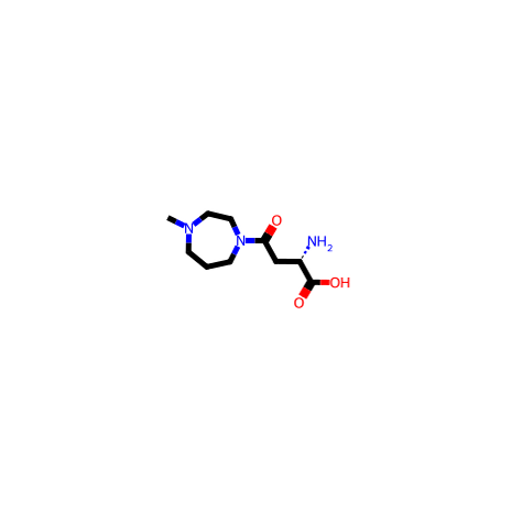 CN1CCCN(C(=O)C[C@H](N)C(=O)O)CC1